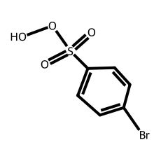 O=S(=O)(OO)c1ccc(Br)cc1